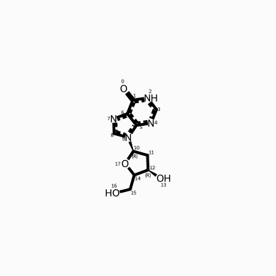 O=c1[nH]cnc2c1ncn2[C@H]1C[C@@H](O)C(CO)O1